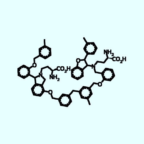 Cc1cccc(COc2ccccc2C2c3cccc(OCc4cccc(Cc5cc(C)cc(COc6ccccc6CN(CC[C@H](N)C(=O)O)C6c7ccccc7OC6c6cccc(C)c6)c5)c4)c3CN2CC[C@H](N)C(=O)O)c1